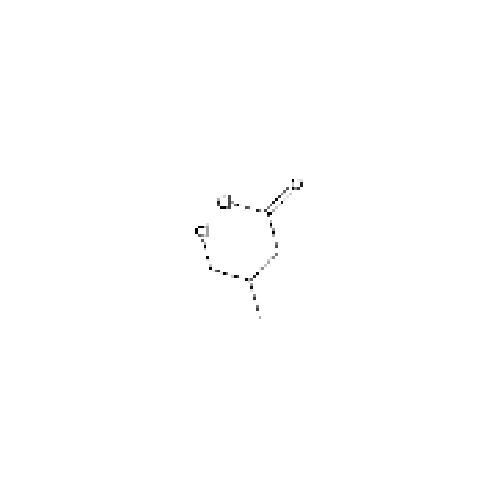 CC(CCl)CC(=O)Cl